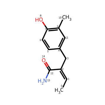 CC=C(Cc1ccc(O)c(C)c1)C(N)=O